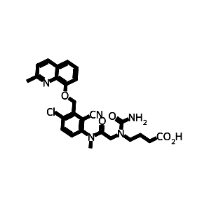 Cc1ccc2cccc(OCc3c(Cl)ccc(N(C)C(=O)CN(CCCC(=O)O)C(N)=O)c3C#N)c2n1